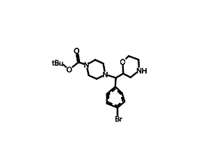 CC(C)(C)OC(=O)N1CCN(C(c2ccc(Br)cc2)C2CNCCO2)CC1